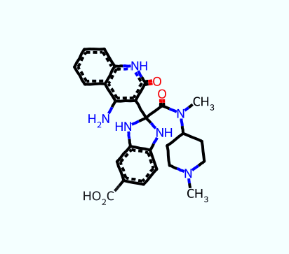 CN1CCC(N(C)C(=O)C2(c3c(N)c4ccccc4[nH]c3=O)Nc3ccc(C(=O)O)cc3N2)CC1